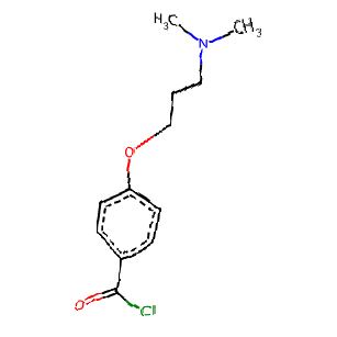 CN(C)CCCOc1ccc(C(=O)Cl)cc1